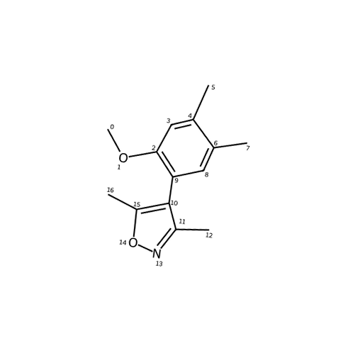 COc1cc(C)c(C)cc1-c1c(C)noc1C